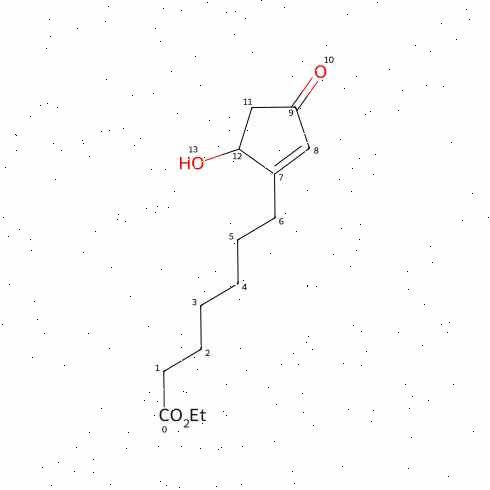 CCOC(=O)CCCCCCC1=CC(=O)CC1O